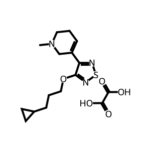 CN1CCC=C(c2nsnc2OCCCC2CC2)C1.O=C(O)C(=O)O